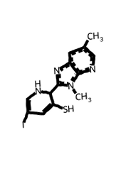 Cc1cnc2c(c1)nc(C1NC=C(I)C=C1S)n2C